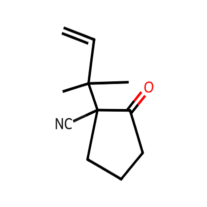 C=CC(C)(C)C1(C#N)CCCC1=O